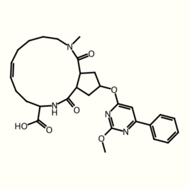 COc1nc(OC2CC3C(=O)NC(C(=O)O)CCC=CCCCCN(C)C(=O)C3C2)cc(-c2ccccc2)n1